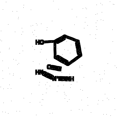 C=O.N=[N+]=N.Oc1ccccc1